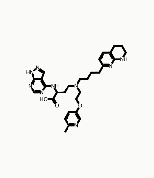 Cc1ccc(OCCN(CCCCc2ccc3c(n2)NCCC3)CC[C@H](Nc2ncnc3[nH]ncc23)C(=O)O)cn1